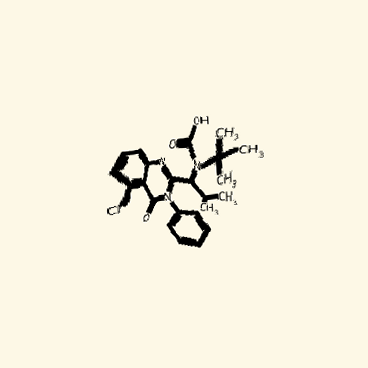 CC(C)C(c1nc2cccc(Cl)c2c(=O)n1-c1ccccc1)N(C(=O)O)C(C)(C)C